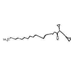 CCCCCCCCCCCCCCC(=O)C(C1CC1)C1CC1